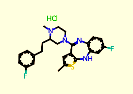 Cc1cc2c(s1)Nc1cc(F)ccc1N=C2N1CCN(C)C(CCc2cccc(F)c2)C1.Cl